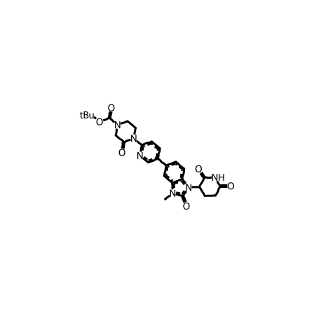 Cn1c(=O)n(C2CCC(=O)NC2=O)c2ccc(-c3ccc(N4CCN(C(=O)OC(C)(C)C)CC4=O)nc3)cc21